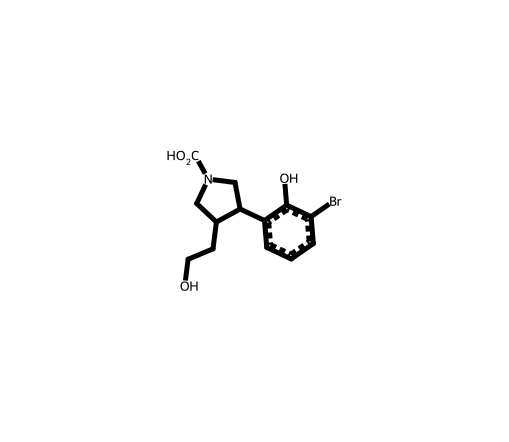 O=C(O)N1CC(CCO)C(c2cccc(Br)c2O)C1